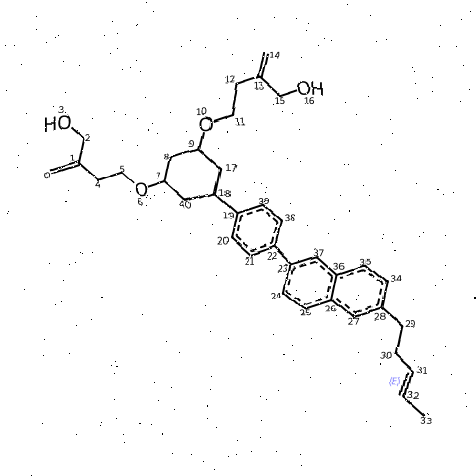 C=C(CO)CCOC1CC(OCCC(=C)CO)CC(c2ccc(-c3ccc4cc(CC/C=C/C)ccc4c3)cc2)C1